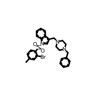 Cc1ccc(S(=O)(=O)n2cc(CN3CCN(Cc4ccccc4)CC3)c3ccccc32)c(Br)c1